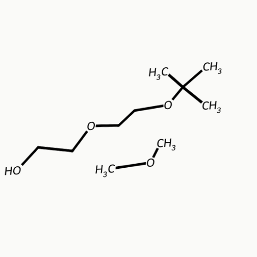 CC(C)(C)OCCOCCO.COC